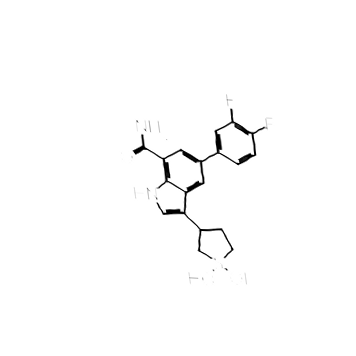 NC(=O)c1cc(-c2ccc(F)c(F)c2)cc2c(C3CCS(O)(O)C3)c[nH]c12